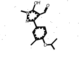 Cc1cc(-c2nn(C)c(O)c2C=O)ccc1OC(C)C